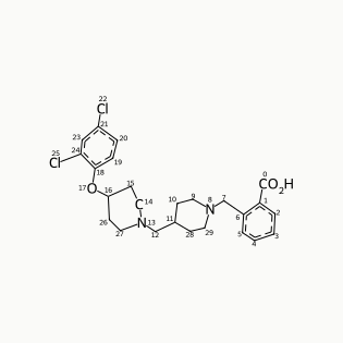 O=C(O)c1ccccc1CN1CCC(CN2CCC(Oc3ccc(Cl)cc3Cl)CC2)CC1